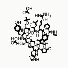 CC(=O)O.CC(=O)O.CCNC(=O)[C@@H]1CCCN1C(=O)[C@H](CCCNC(=N)N)NC(=O)[C@H](CC(C)C)NC(=O)[C@@H](COC(C)(C)C)NC(=O)[C@H](Cc1ccc(O)cc1)NC(=O)[C@H](CO)NC(=O)[C@H](Cc1c[nH]c2ccccc12)NC(=O)[C@H](Cc1c[nH]cn1)NC(=O)[C@@H]1CCC(=O)N1